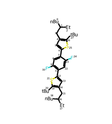 CCCCC(CC)Cc1cc(-c2cc(F)c(-c3cc(CC(CC)CCCC)c(C(C)(C)C)s3)cc2F)sc1C(C)(C)C